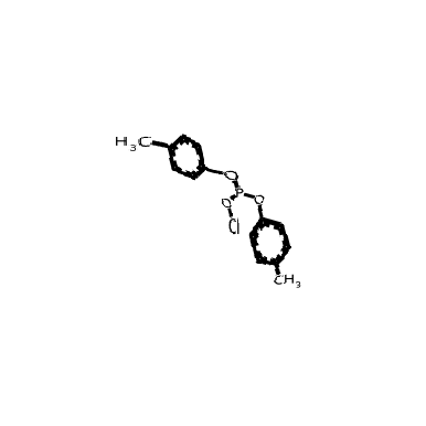 Cc1ccc(OP(OCl)Oc2ccc(C)cc2)cc1